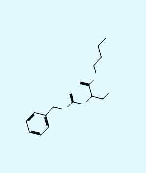 CCCCOC(=O)C(CN)NC(=O)OCc1ccccc1